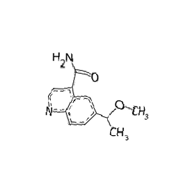 COC(C)c1ccc2nccc(C(N)=O)c2c1